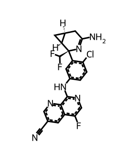 N#Cc1cnc2c(Nc3ccc(Cl)c([C@@]4(C(F)F)N=C(N)C[C@@H]5C[C@@H]54)c3)ncc(F)c2c1